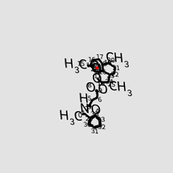 CC(NC(=O)CCC(=O)OC1OC2OC3(C)CCC4C(C)CCC(C1C)C24OO3)c1ccccc1